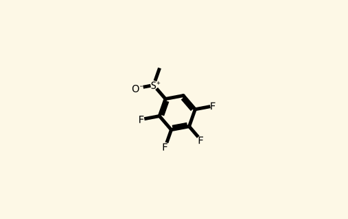 C[S+]([O-])c1cc(F)c(F)c(F)c1F